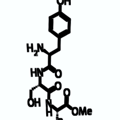 COC(=O)[C@@H](NC(=O)[C@H](CO)NC(=O)[C@@H](N)Cc1ccc(O)cc1)C(C)C